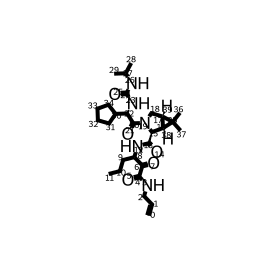 C=CCNC(=O)C(=O)C(CCC)NC(=O)[C@@H]1[C@H]2[C@@H](CN1C(=O)[C@@H](NC(=O)NC(C)C)C1CCCC1)C2(C)C